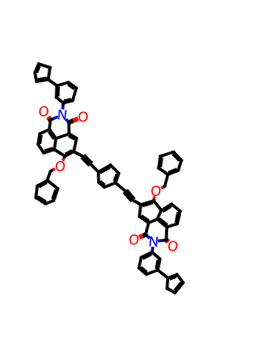 O=C1c2cccc3c(OCc4ccccc4)c(C#Cc4ccc(C#Cc5cc6c7c(cccc7c5OCc5ccccc5)C(=O)N(c5cccc(C7=CC=CC7)c5)C6=O)cc4)cc(c23)C(=O)N1c1cccc(C2=CC=CC2)c1